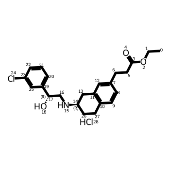 CCOC(=O)CCc1ccc2c(c1)C[C@H](NC[C@H](O)c1cccc(Cl)c1)CC2.Cl